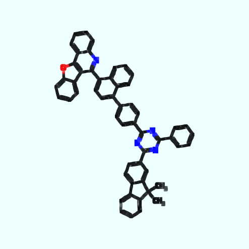 CC1(C)c2ccccc2-c2ccc(-c3nc(-c4ccccc4)nc(-c4ccc(-c5ccc(-c6nc7ccccc7c7oc8ccccc8c67)c6ccccc56)cc4)n3)cc21